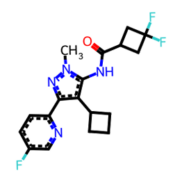 Cn1nc(-c2ccc(F)cn2)c(C2CCC2)c1NC(=O)C1CC(F)(F)C1